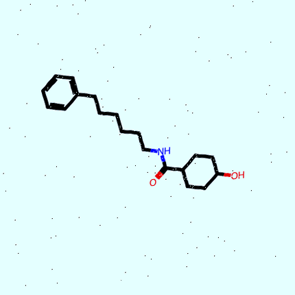 O=C(NCCCCCCc1ccccc1)C1CCC(O)CC1